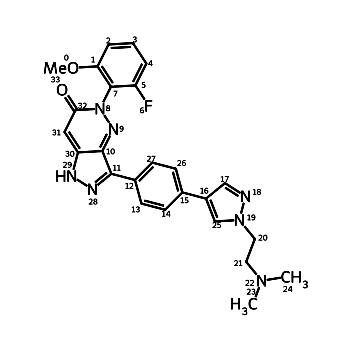 COc1cccc(F)c1-n1nc2c(-c3ccc(-c4cnn(CCN(C)C)c4)cc3)n[nH]c2cc1=O